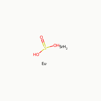 O=S(O)O.[Eu].[SrH2]